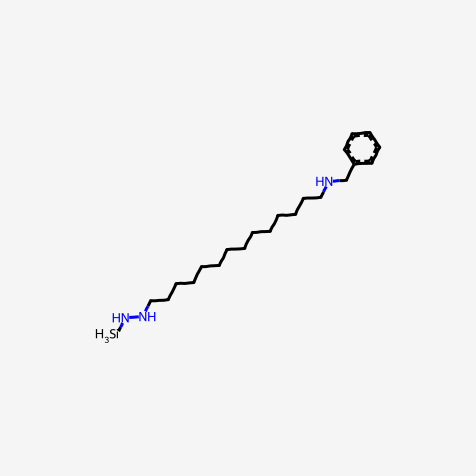 [SiH3]NNCCCCCCCCCCCCCCNCc1ccccc1